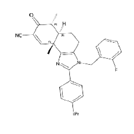 CC(C)c1ccc(-c2nc3c(n2Cc2ccccc2F)CC[C@@H]2[C@@H](C)C(=O)C(C#N)=C[C@@]32C)cc1